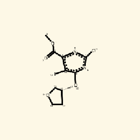 COC(=O)c1nc(Cl)nc(O[C@@H]2CCOC2)c1I